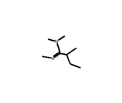 CCC(C)/C(=N/C)N(C)C